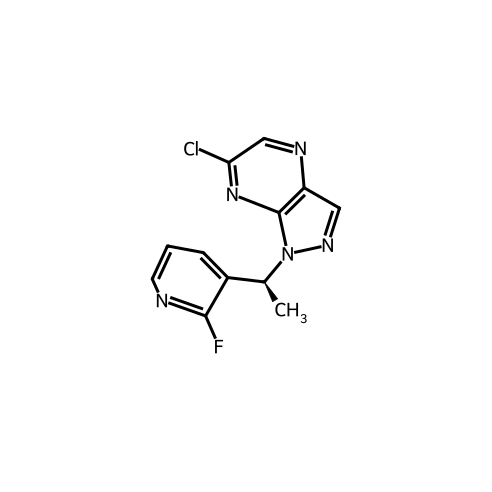 C[C@@H](c1cccnc1F)n1ncc2ncc(Cl)nc21